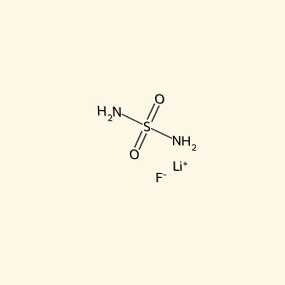 NS(N)(=O)=O.[F-].[Li+]